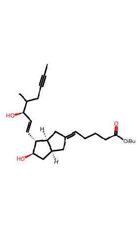 CC#CCC(C)[C@H](O)C=C[C@@H]1[C@H]2CC(=CCCCC(=O)OCC(C)C)C[C@H]2C[C@H]1O